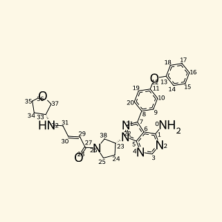 Nc1ncnc2c1c(-c1ccc(Oc3ccccc3)cc1)nn2[C@@H]1CCN(C(=O)C=CCN[C@@H]2CCOC2)C1